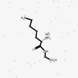 Cl.NCCCC[C@H](N)C(=O)NCC(=O)O